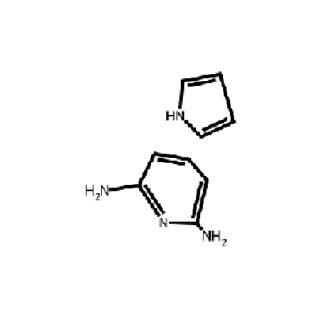 Nc1cccc(N)n1.c1cc[nH]c1